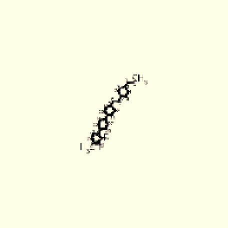 CCCC1C=CC(CCc2ccc(-c3ccc(-c4ccc(C)c(F)c4F)cc3)cc2)CC1